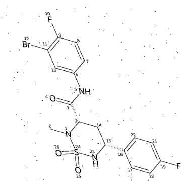 CN1[C@H](C(=O)Nc2ccc(F)c(Br)c2)C[C@H](c2ccc(F)cc2)NS1(=O)=O